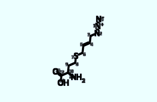 [N-]=[N+]=NC/C=C/CSCCC(N)C(=O)O